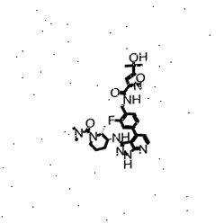 C[C@@H]1[C@H](Nc2n[nH]c3nccc(-c4ccc(CNC(=O)c5cc(C(C)(C)O)on5)c(F)c4)c23)CCCN1C(=O)N(C)C